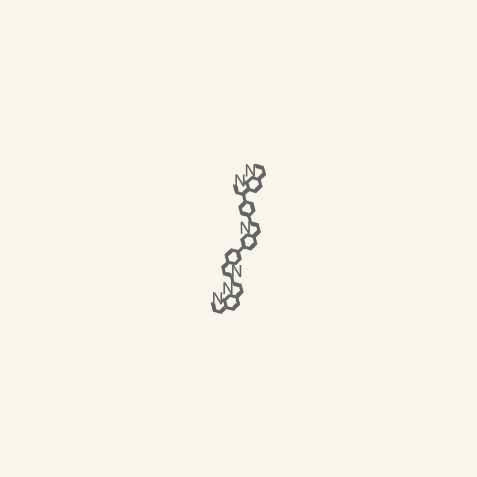 c1cnc2c(c1)ccc1ccc(-c3ccc4ccc(-c5ccc6ccc(-c7ccc(-c8ccnc9c8ccc8cccnc89)cc7)nc6c5)cc4n3)nc12